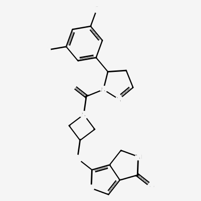 O=C1NCc2c1csc2OC1CN(C(=O)N2N=CCC2c2cc(F)cc(F)c2)C1